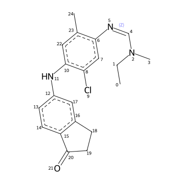 CCN(C)/C=N\c1cc(Cl)c(Nc2ccc3c(c2)CCC3=O)cc1C